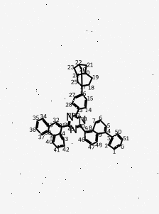 c1ccc(-c2cccc3c(-c4nc(-c5ccc(C67CCC8CC(CC8C6)C7)cc5)nc(-c5cc6ccccc6c6ccccc56)n4)cccc23)cc1